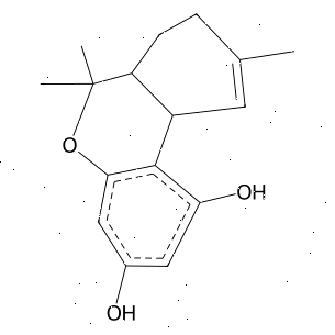 CC1=CC2c3c(O)cc(O)cc3OC(C)(C)C2CC1